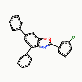 Clc1cccc(-c2nc3c(-c4ccccc4)cc(-c4ccccc4)cc3o2)c1